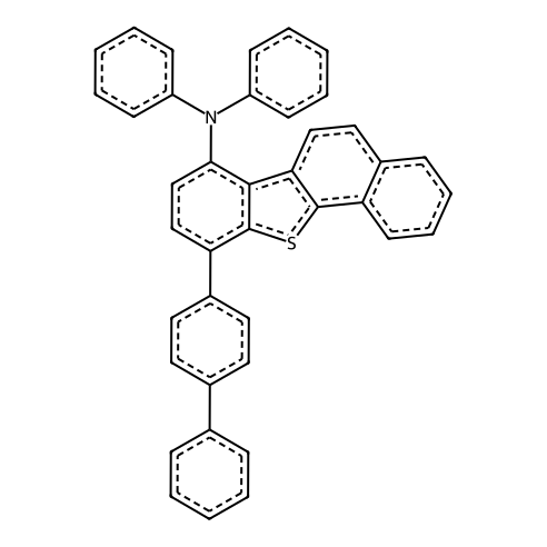 c1ccc(-c2ccc(-c3ccc(N(c4ccccc4)c4ccccc4)c4c3sc3c5ccccc5ccc34)cc2)cc1